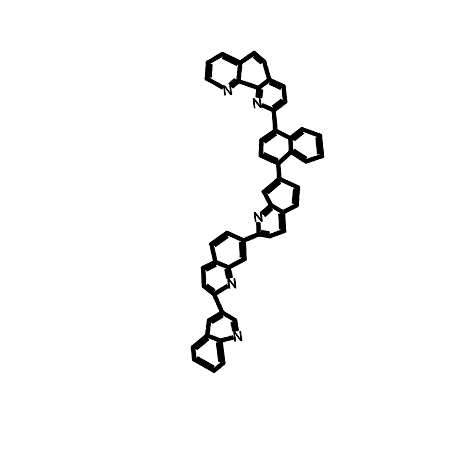 c1ccc2ncc(-c3ccc4ccc(-c5ccc6ccc(-c7ccc(-c8ccc9ccc%10cccnc%10c9n8)c8ccccc78)cc6n5)cc4n3)cc2c1